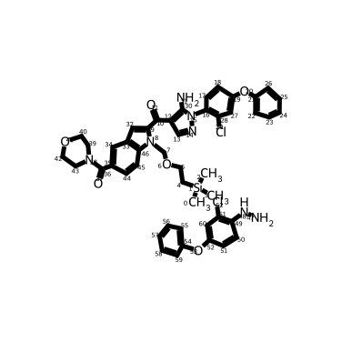 C[Si](C)(C)CCOCn1c(C(=O)c2cnn(-c3ccc(Oc4ccccc4)cc3Cl)c2N)cc2cc(C(=O)N3CCOCC3)ccc21.NNc1ccc(Oc2ccccc2)cc1Cl